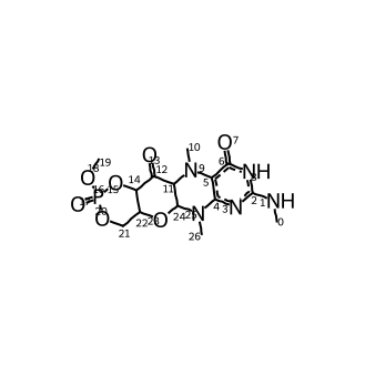 CNc1nc2c(c(=O)[nH]1)N(C)C1C(=O)C3OP(=O)(OC)OCC3OC1N2C